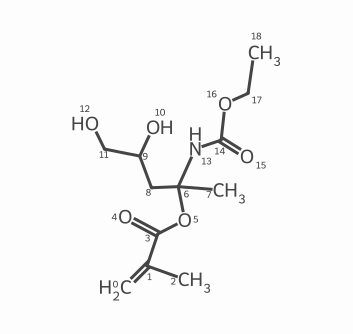 C=C(C)C(=O)OC(C)(CC(O)CO)NC(=O)OCC